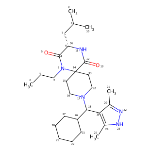 CCCN1C(=O)[C@H](CC(C)C)NC(=O)C12CCN(C(c1c(C)n[nH]c1C)C1CCCCC1)CC2